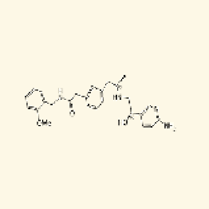 COc1ccccc1CNC(=O)Cc1cccc(C[C@@H](C)NC[C@H](O)c2ccc(N)nc2)c1